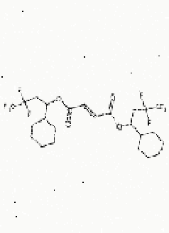 O=C(/C=C/C(=O)OC(CC(F)(F)C(F)(F)F)C1CCCCC1)OC(CC(F)(F)C(F)(F)F)C1CCCCC1